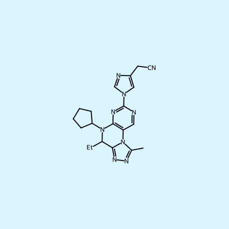 CCC1c2nnc(C)n2-c2cnc(-n3cnc(CC#N)c3)nc2N1C1CCCC1